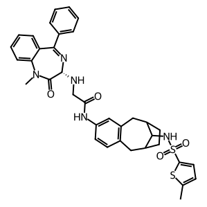 Cc1ccc(S(=O)(=O)NC2C3CCC2Cc2cc(NC(=O)CN[C@H]4N=C(c5ccccc5)c5ccccc5N(C)C4=O)ccc2C3)s1